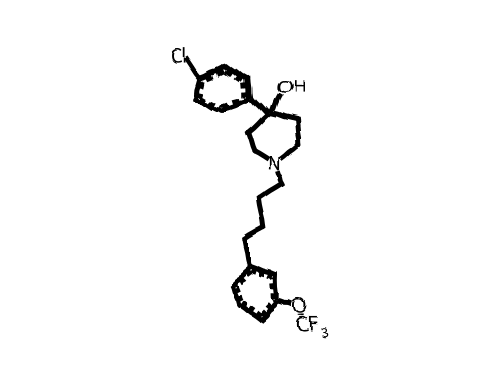 OC1(c2ccc(Cl)cc2)CCN(CCCCc2cccc(OC(F)(F)F)c2)CC1